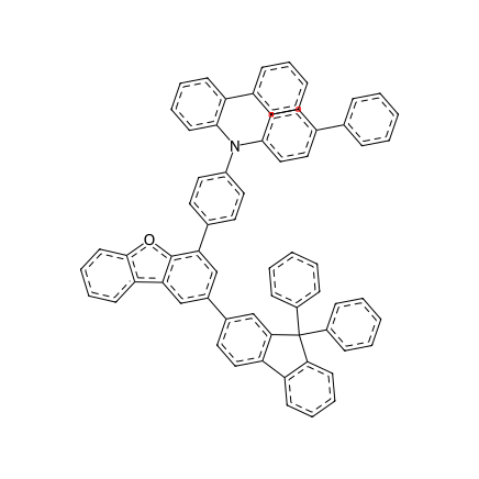 c1ccc(-c2ccc(N(c3ccc(-c4cc(-c5ccc6c(c5)C(c5ccccc5)(c5ccccc5)c5ccccc5-6)cc5c4oc4ccccc45)cc3)c3ccccc3-c3ccccc3)cc2)cc1